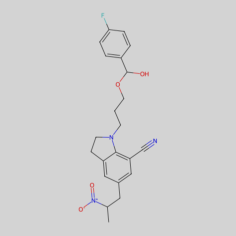 CC(Cc1cc(C#N)c2c(c1)CCN2CCCOC(O)c1ccc(F)cc1)[N+](=O)[O-]